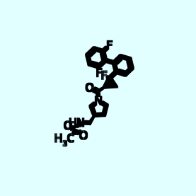 CS(=O)(=O)NC[C@@H]1CCN(C(=O)[C@@H]2C[C@@]2(F)c2ccccc2-c2c(F)cccc2F)C1